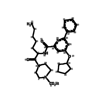 CCOC(=O)N1CCN(C(=O)C(CCCCN)NC(=O)c2cc(OC3CCCC3)nc(-c3ccccc3)n2)CC1